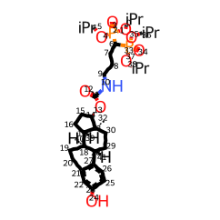 CC(C)OP(=O)(OC(C)C)C(CCCNC(=O)O[C@H]1CC[C@H]2[C@@H]3CCc4cc(O)ccc4[C@H]3CC[C@]12C)P(=O)(OC(C)C)OC(C)C